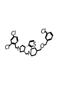 Clc1cccc(COCC2CCN(C[C@H]3CN(Cc4ccc(Cl)cc4Cl)C[C@@H]3c3ccsc3)CC2)c1